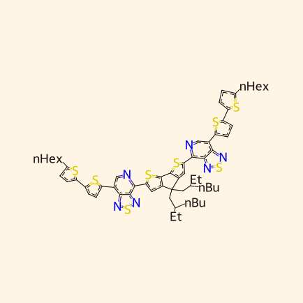 CCCCCCc1ccc(-c2ccc(-c3cnc(-c4cc5c(s4)-c4sc(-c6ncc(-c7ccc(-c8ccc(CCCCCC)s8)s7)c7nsnc67)cc4C5(CC(CC)CCCC)CC(CC)CCCC)c4nsnc34)s2)s1